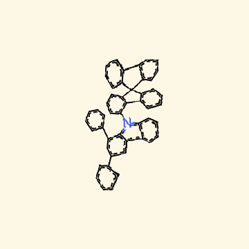 c1ccc(-c2cc(-c3ccccc3)c3c(c2)c2ccccc2n3-c2cccc3c2-c2ccccc2C32c3ccccc3-c3ccccc32)cc1